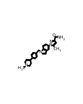 Cc1cc(C(N)=O)nn1-c1ccc2c(ccn2Cc2ccc(C3=CCN(C)CC3)cc2)c1